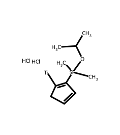 CC(C)O[Si](C)(C)C1=[C]([Ti])CC=C1.Cl.Cl